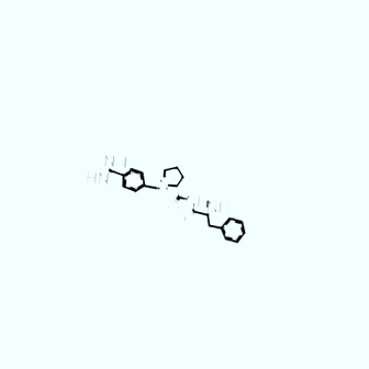 N=C(N)c1ccc(CN2CCC[C@H]2C(=O)NC(=O)[C@H](N)Cc2ccccc2)cc1